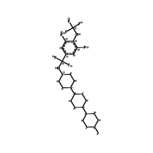 CC1CCC(C2CCC(C3CCC(OC(F)(F)c4cc(F)c(OC(F)(F)F)c(F)c4)CC3)CC2)CC1